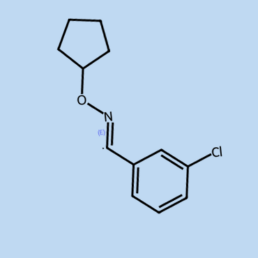 Clc1cccc(/[C]=N/OC2CCCC2)c1